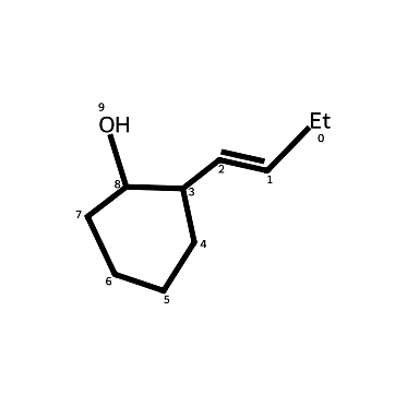 CCC=CC1CCCCC1O